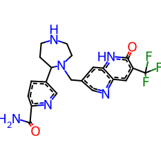 NC(=O)c1ccc(C2CCNCCN2Cc2cnc3cc(C(F)(F)F)c(=O)[nH]c3c2)cn1